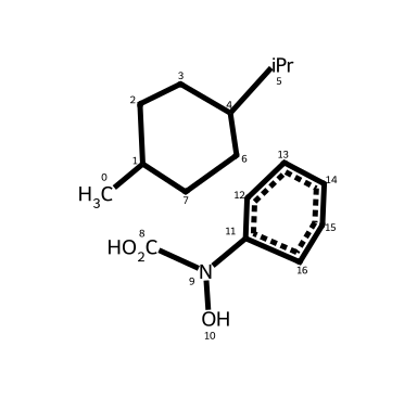 CC1CCC(C(C)C)CC1.O=C(O)N(O)c1ccccc1